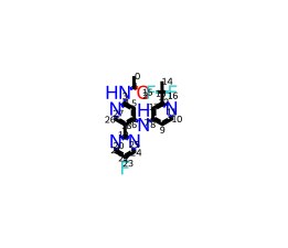 CC(=O)Nc1cc(Nc2ccnc(C(C)(F)F)c2)c(-c2ncc(F)cn2)cn1